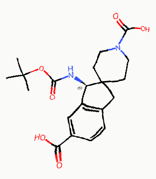 CC(C)(C)OC(=O)N[C@@H]1c2cc(C(=O)O)ccc2CC12CCN(C(=O)O)CC2